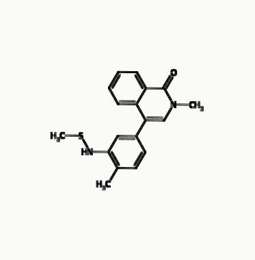 CSNc1cc(-c2cn(C)c(=O)c3ccccc23)ccc1C